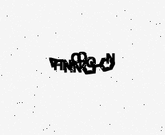 O=C(NCC1CC1)Nc1ccc(-c2cccnc2)oc1=O